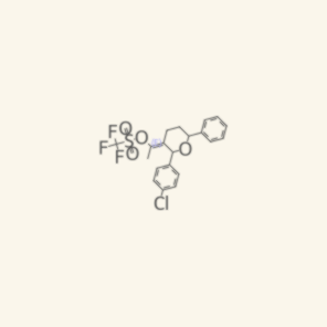 C/C(OS(=O)(=O)C(F)(F)F)=C1/CCC(c2ccccc2)OC1c1ccc(Cl)cc1